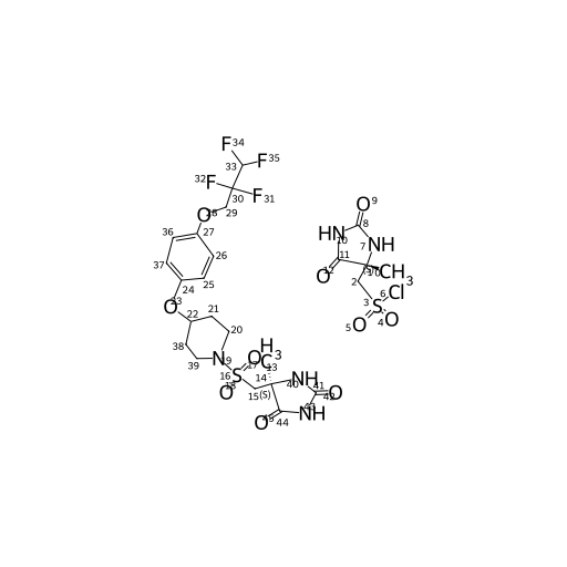 C[C@]1(CS(=O)(=O)Cl)NC(=O)NC1=O.C[C@]1(CS(=O)(=O)N2CCC(Oc3ccc(OCC(F)(F)C(F)F)cc3)CC2)NC(=O)NC1=O